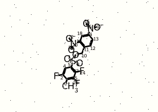 Cc1c(F)cc(S(=O)(=O)OCc2ccc([N+](=O)[O-])cc2[N+](=O)[O-])c(F)c1F